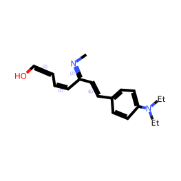 CCN(CC)c1ccc(/C=C/C(/C=C\C=C/O)=N\C)cc1